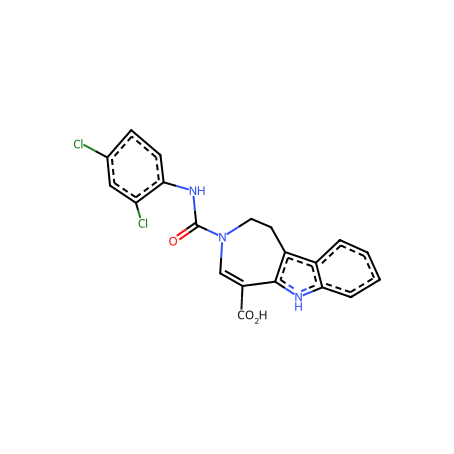 O=C(O)C1=CN(C(=O)Nc2ccc(Cl)cc2Cl)CCc2c1[nH]c1ccccc21